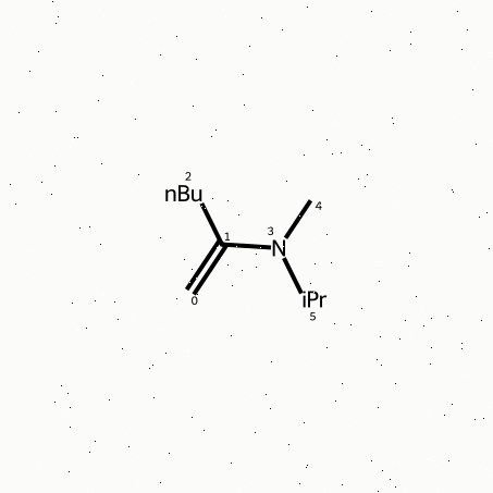 C=C(CCCC)N(C)C(C)C